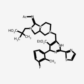 CCOC(=O)C1=C(CN2CCN3C(=NC(C)=O)N(CC(C)(C)C(=O)O)CC3C2)NC(c2nccs2)=NC1c1cccc(F)c1C